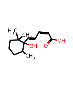 CC1CCCC(C)(C)C1(O)/C=C/C=C\C(=O)O